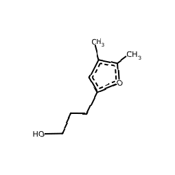 Cc1cc(CCCO)oc1C